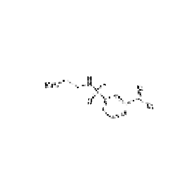 CCC(=O)c1cccc(S(=O)(=O)NCCOC)c1